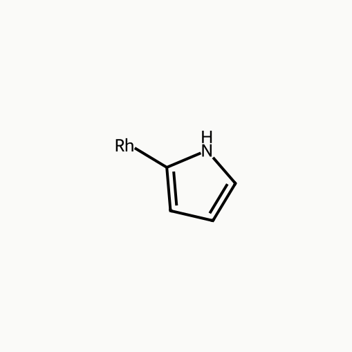 [Rh][c]1ccc[nH]1